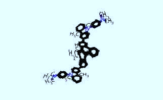 CN(C)c1ccc(N2c3ccc(-c4ccc5c(c4)C(C)(C)c4c-5c5ccccc5c5cc(-c6ccc7c(c6)C6(C)CCCCC6(C)N7c6ccc(N(C)C)cc6)ccc45)cc3C3(C)CCCCC23C)cc1